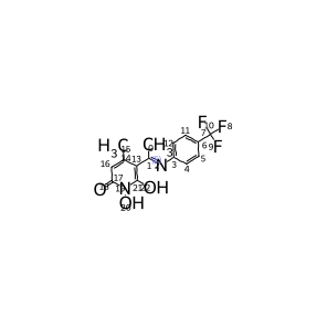 C/C(=N\c1ccc(C(F)(F)F)cc1)c1c(C)cc(=O)n(O)c1O